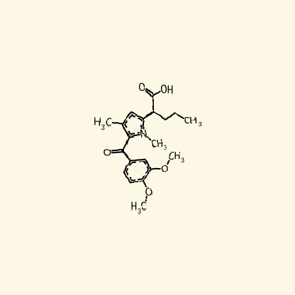 CCCC(C(=O)O)c1cc(C)c(C(=O)c2ccc(OC)c(OC)c2)n1C